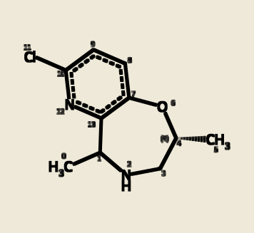 CC1NC[C@@H](C)Oc2ccc(Cl)nc21